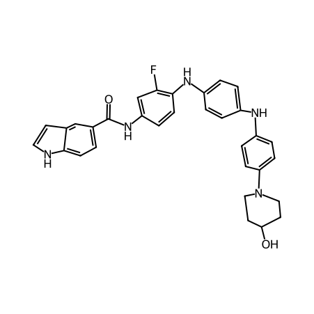 O=C(Nc1ccc(Nc2ccc(Nc3ccc(N4CCC(O)CC4)cc3)cc2)c(F)c1)c1ccc2[nH]ccc2c1